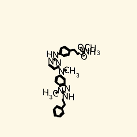 CNS(=O)(=O)CCc1ccc(Nc2nccc(N(C)c3ccc4c(c3)nc(NCCc3ccccc3)n4C)n2)cc1